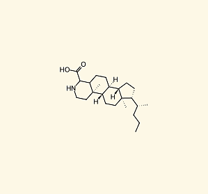 CCC[C@@H](C)[C@H]1CC[C@H]2[C@@H]3CCC4C(C(=O)O)NCC[C@]4(C)[C@H]3CC[C@]12C